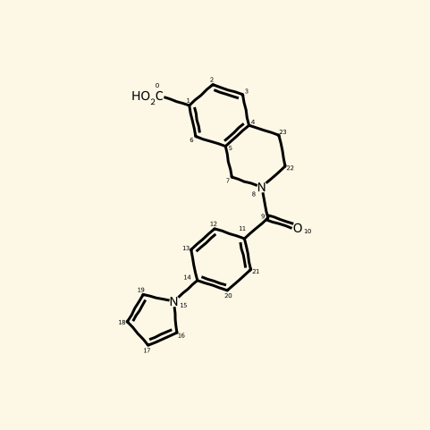 O=C(O)c1ccc2c(c1)CN(C(=O)c1ccc(-n3cccc3)cc1)CC2